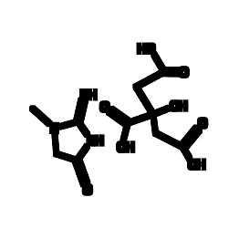 CN1CC(=O)NC1=N.O=C(O)CC(O)(CC(=O)O)C(=O)O